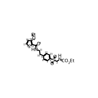 CCOC(=O)NCS(=O)(=O)c1ccc(CCNC(=O)c2sccc2OCC)cc1